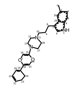 Cc1ccc2[nH]cc(CCCN3CCN(C4=COC(C5=CC=CCC5)=CO4)CC3)c2c1